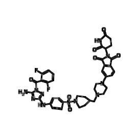 Nc1nc(Nc2ccc(S(=O)(=O)N3CCC(CN4CCN(c5ccc6c(c5)C(=O)N(C5CCC(=O)NC5=O)C6=O)CC4)CC3)cc2)nn1C(=O)c1c(F)cccc1F